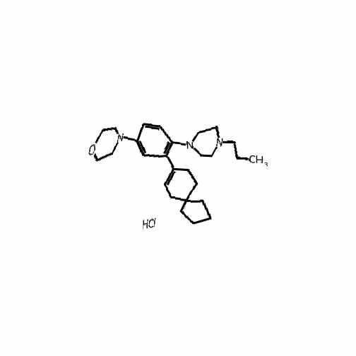 CCCN1CCN(c2ccc(N3CCOCC3)cc2C2=CCC3(CCCC3)CC2)CC1.Cl